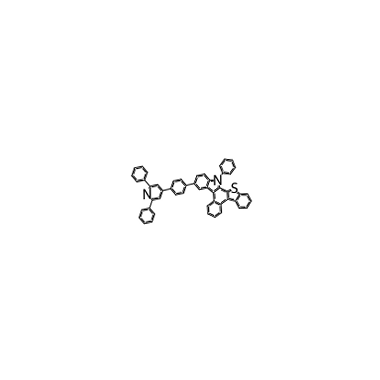 c1ccc(-c2cc(-c3ccc(-c4ccc5c(c4)c4c6ccccc6c6c7ccccc7sc6c4n5-c4ccccc4)cc3)cc(-c3ccccc3)n2)cc1